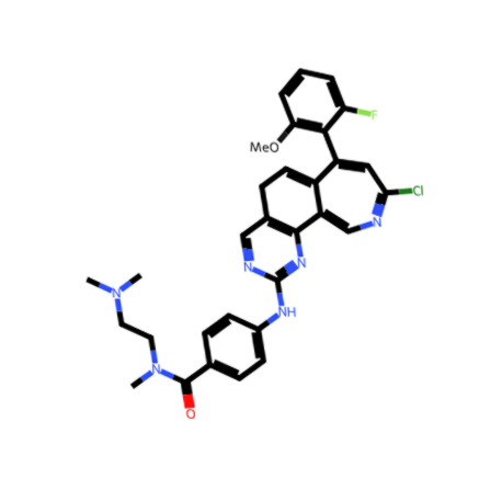 COc1cccc(F)c1C1=CC(Cl)=NC=C2C1=CCc1cnc(Nc3ccc(C(=O)N(C)CCN(C)C)cc3)nc12